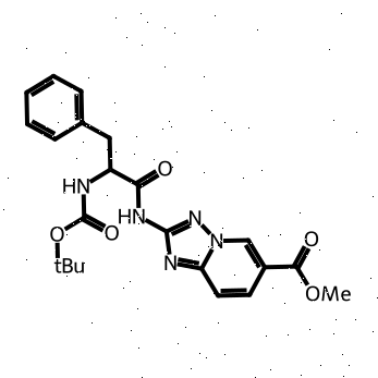 COC(=O)c1ccc2nc(NC(=O)C(Cc3ccccc3)NC(=O)OC(C)(C)C)nn2c1